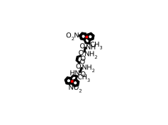 CC(Cc1cccc([N+](=O)[O-])c1)(NC(=O)C(N)OC(=O)/C=C\C(=O)OC(N)C(=O)NC(C)(Cc1cccc([N+](=O)[O-])c1)c1ccccc1)c1ccccc1